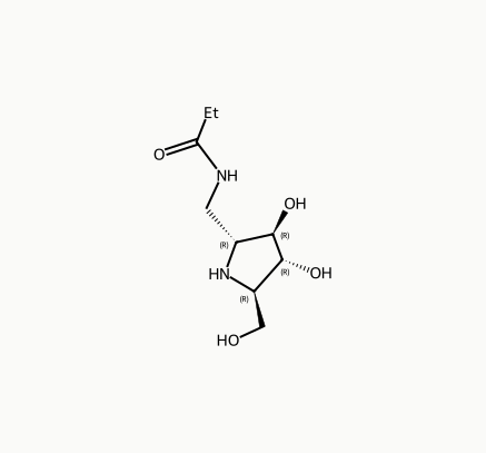 CCC(=O)NC[C@H]1N[C@H](CO)[C@@H](O)[C@@H]1O